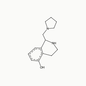 Oc1cccc2c1CCNC2CN1CCCC1